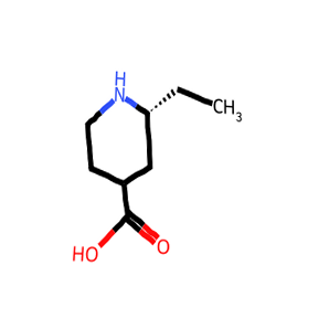 CC[C@@H]1CC(C(=O)O)CCN1